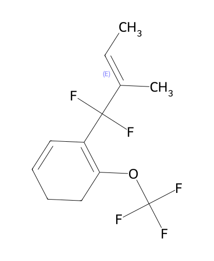 C/C=C(\C)C(F)(F)C1=C(OC(F)(F)F)CCC=C1